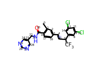 Cc1cc(/C=C/C(c2cc(Cl)cc(Cl)c2)C(F)(F)F)ccc1C(=O)NCc1cncnc1